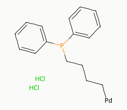 Cl.Cl.[Pd][CH2]CCCP(c1ccccc1)c1ccccc1